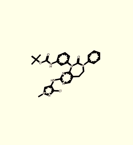 Cn1cc(Nc2ncc3c(n2)N(c2cccc(NC(=O)OC(C)(C)C)c2)C(=O)N(c2ccccc2)CC3)c(Cl)n1